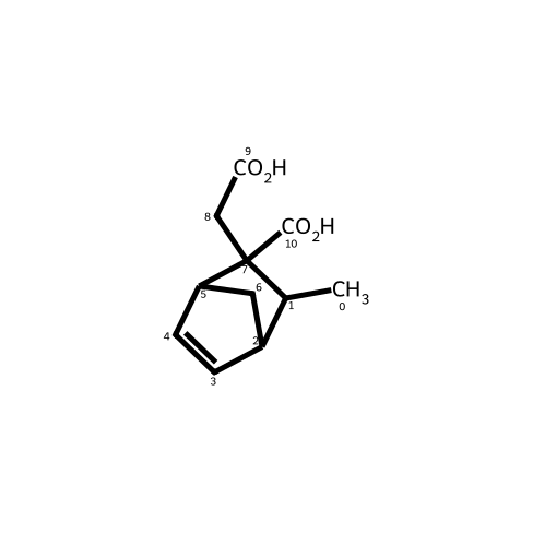 CC1C2C=CC(C2)C1(CC(=O)O)C(=O)O